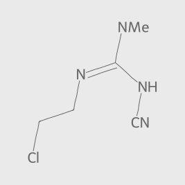 CNC(=NCCCl)NC#N